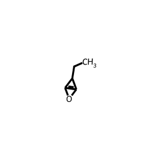 CC[C]1C2=C1O2